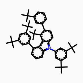 CC(C)(C)c1cccc(-c2ccc3c(c2C(C)(C)C)c2c(-c4cc(C(C)(C)C)cc(C(C)(C)C)c4)cccc2n3-c2cc(C(C)(C)C)cc(C(C)(C)C)c2)c1